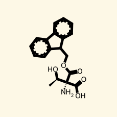 C[C@@H](O)[C@](N)(C(=O)O)C(=O)OCC1c2ccccc2-c2ccccc21